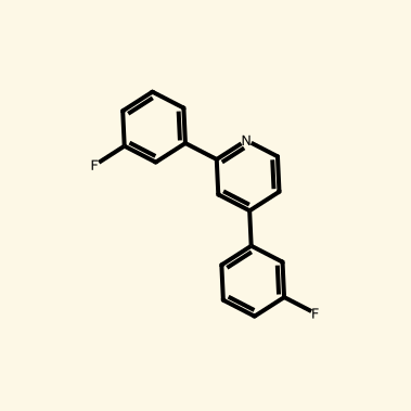 Fc1cccc(-c2ccnc(-c3cccc(F)c3)c2)c1